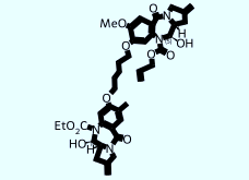 C=CCOC(=O)N1c2cc(OCCCCCOc3cc4c(cc3C)C(=O)N3CC(=C)C[C@H]3[C@H](O)N4C(=O)OCC)c(OC)cc2C(=O)N2CC(=C)C[C@H]2[C@@H]1O